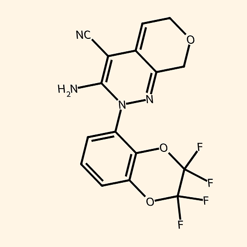 N#CC1=C(N)N(c2cccc3c2OC(F)(F)C(F)(F)O3)N=C2COCC=C21